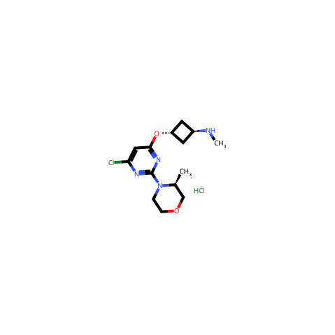 CN[C@H]1C[C@H](Oc2cc(Cl)nc(N3CCOC[C@@H]3C)n2)C1.Cl